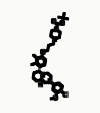 COc1cc(N2CCN3[C@@H](CCC[C@@H]3c3ccc(OCCCN4CCN(C(=O)OC(C)(C)C)CC4)c(C)c3C)C2)ccc1Cl